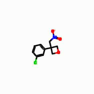 O=[N+]([O-])CC1(c2cccc(Cl)c2)COC1